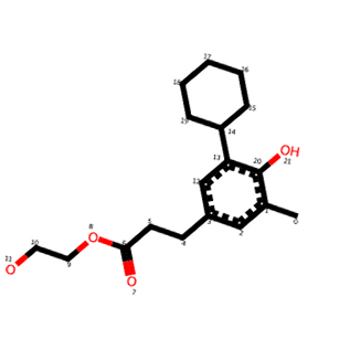 Cc1cc(CCC(=O)OCCO)cc(C2CCCCC2)c1O